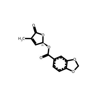 CC1=C[C@H](OC(=O)c2ccc3c(c2)OCO3)OC1=O